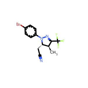 C[C@@H]1C(C(F)(F)F)=NN(c2ccc(Br)cc2)[C@H]1CC#N